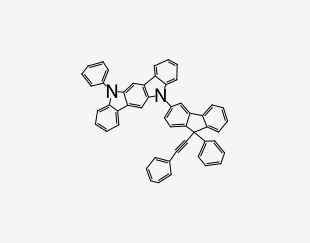 C(#CC1(c2ccccc2)c2ccccc2-c2cc(-n3c4ccccc4c4cc5c(cc43)c3ccccc3n5-c3ccccc3)ccc21)c1ccccc1